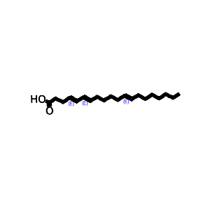 CCCCCCC/C=C/CCCC/C=C/C=C/CCC(=O)O